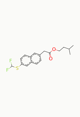 CC(C)CCOC(=O)Cc1ccc2cc(SC(F)F)ccc2c1